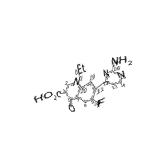 CCn1cc(C(=O)O)c(=O)c2cc(F)c(-c3ccnc(N)n3)cc21